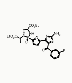 CCOC(=O)[C@H](C)NP(=O)(N[C@@H](C)C(=O)OCC)c1ccc(-c2nc(N)sc2C(=O)c2cccc(F)c2)o1